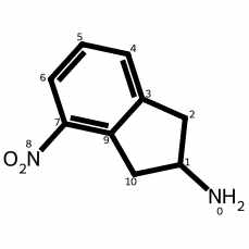 NC1Cc2cccc([N+](=O)[O-])c2C1